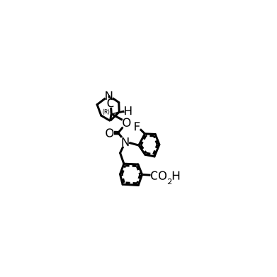 O=C(O)c1cccc(CN(C(=O)O[C@H]2CN3CCC2CC3)c2ccccc2F)c1